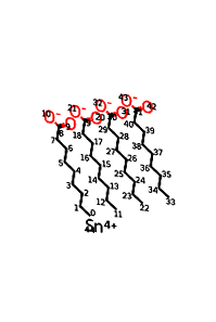 CCCCCCCCC(=O)[O-].CCCCCCCCC(=O)[O-].CCCCCCCCC(=O)[O-].CCCCCCCCC(=O)[O-].[Sn+4]